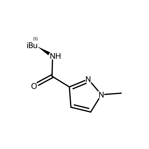 CC[C@H](C)NC(=O)c1ccn(C)n1